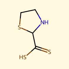 S=C(S)C1NCCS1